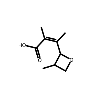 CC(C(=O)O)=C(C)C1OCC1C